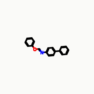 C(=Nc1ccc(-c2ccccc2)cc1)Oc1ccccc1